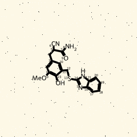 COc1cc(CC(C#N)C(N)=O)cc(CSc2nc3ccccc3[nH]2)c1O